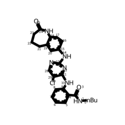 CCCCNC(=O)c1ccccc1Nc1nc(Nc2ccc3c(c2)CCCC(=O)N3)ncc1Cl